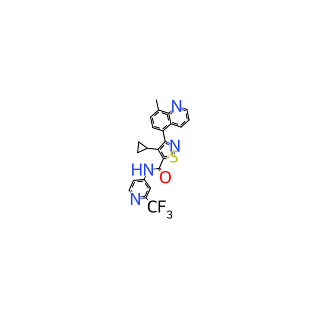 Cc1ccc(-c2nsc(C(=O)Nc3ccnc(C(F)(F)F)c3)c2C2CC2)c2cccnc12